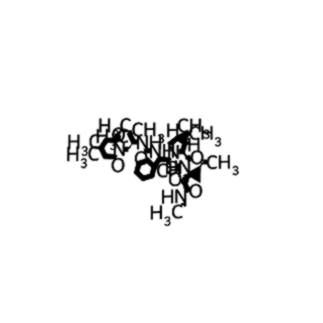 CCNC(=O)C(=O)[C@]1(NC(=O)[C@@H]2[C@@H]3[C@H](CN2C(=O)[C@@H](NC(=O)N[C@H](CN2C(=O)CC(C)(C)CC2=O)C(C)(C)C)C2(C)CCCCC2)C3(C)C)C[C@H]1CC